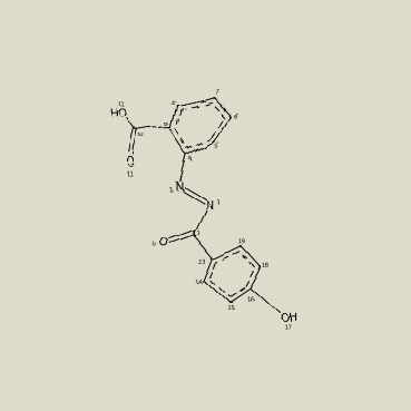 O=C(N=Nc1ccccc1C(=O)O)c1ccc(O)cc1